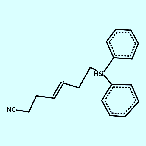 N#CCCC=[C]CC[SiH](c1ccccc1)c1ccccc1